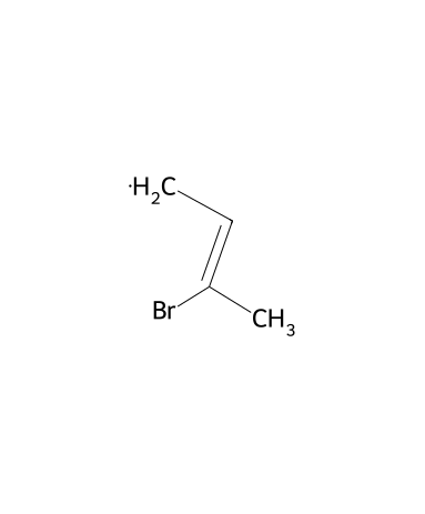 [CH2]C=C(C)Br